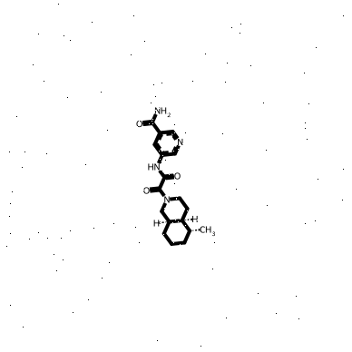 C[C@@H]1CCC[C@H]2CN(C(=O)C(=O)Nc3cncc(C(N)=O)c3)CC[C@H]21